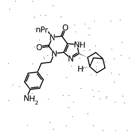 CCCn1c(=O)c2[nH]c([C@@H]3CC4CC[C@@H]3C4)nc2n(CCc2ccc(N)cc2)c1=O